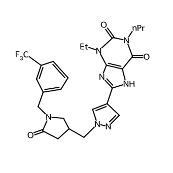 CCCn1c(=O)c2[nH]c(-c3cnn(CC4CC(=O)N(Cc5cccc(C(F)(F)F)c5)C4)c3)nc2n(CC)c1=O